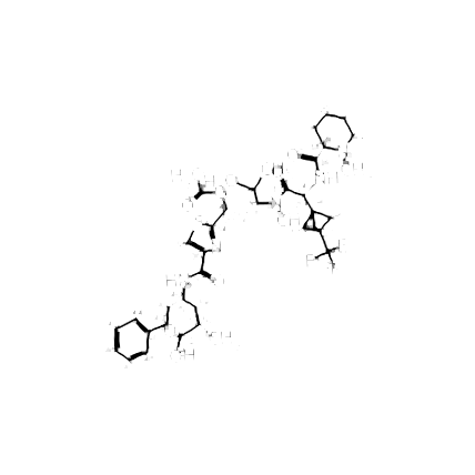 CC(=O)O[C@H](C[C@H](C(C)C)N(C)C(=O)[C@@H](NC(=O)[C@H]1CCCCN1C)C12CC(C(F)(F)F)(C1)C2)c1nc(C(=O)N[C@@H](CCc2ccccc2)C[C@H](C)C(=O)O)cs1